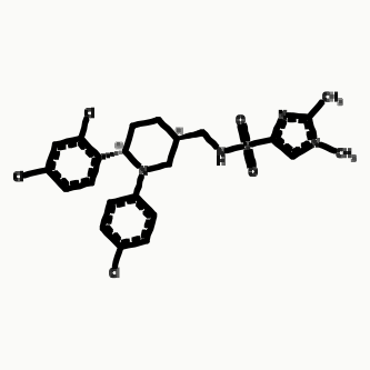 Cc1nc(S(=O)(=O)NC[C@@H]2CC[C@@H](c3ccc(Cl)cc3Cl)N(c3ccc(Cl)cc3)C2)cn1C